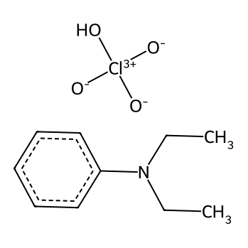 CCN(CC)c1ccccc1.[O-][Cl+3]([O-])([O-])O